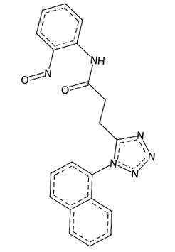 O=Nc1ccccc1NC(=O)CCc1nnnn1-c1cccc2ccccc12